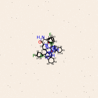 NCc1ccccc1N1C(C=O)=CC=C(c2c(-c3ccc(F)cc3)n[nH]c2NCC2(CCBr)CCCCC2)N1c1c(-c2ccc(F)cc2)n[nH]c1NCC1(CCBr)CCCCC1